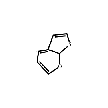 [C]1=C2C=CSC2OC=C1